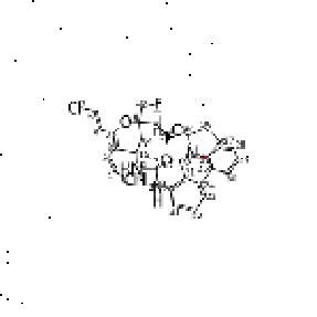 C/C=C\C1=C(/C=C/Cl)OC(CF)(CF)CC1NC(=O)Nc1cccc(-c2ccccc2)c1CN1CCCC1C